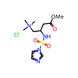 COC(=O)CC(C[N+](C)(C)C)NS(=O)(=O)n1ccnc1.[Cl-]